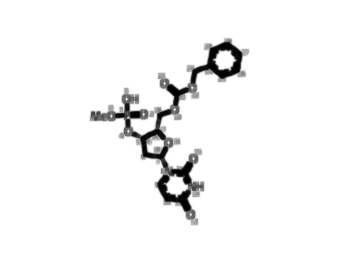 COP(=O)(O)O[C@@H]1C[C@H](n2ccc(=O)[nH]c2=O)O[C@@H]1COC(=O)OCc1ccccc1